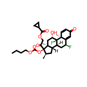 CCCCOC(=O)O[C@]1(C(=O)COC(=O)C2CC2)[C@H](C)C[C@H]2[C@@H]3C[C@H](F)C4=CC(=O)C=C[C@]4(C)[C@@]3(F)[C@@H](O)C[C@@]21C